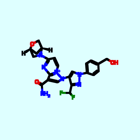 NC(=O)c1cn(-c2cn(-c3ccc(CO)cc3)nc2C(F)F)[n+]2ccc(N3C[C@H]4C[C@@H]3CO4)nc12